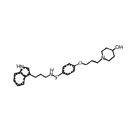 OC1CCN(CCCOc2ccc(SNCCCc3c[nH]c4ccccc34)cc2)CC1